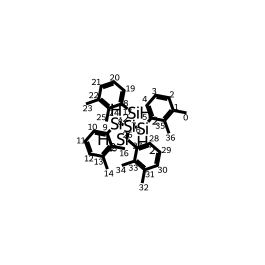 Cc1cccc([SiH2][Si]([SiH2]c2cccc(C)c2C)([SiH2]c2cccc(C)c2C)[SiH2]c2cccc(C)c2C)c1C